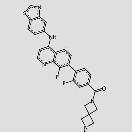 O=C(c1ccc(-c2ccc3c(Nc4ccc5scnc5c4)ccnc3c2F)c(F)c1)N1CC2(CNC2)C1